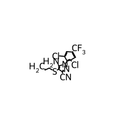 C=CCSc1c(C#N)nn(-c2c(Cl)cc(C(F)(F)F)cc2Cl)c1N